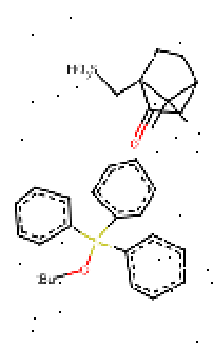 CC(C)(C)OS(c1ccccc1)(c1ccccc1)c1ccccc1.CC1(C)C2CCC1(CS(=O)(=O)O)C(=O)C2